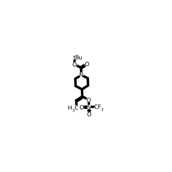 CC=C(OS(=O)(=O)C(F)(F)F)C1CCN(C(=O)OC(C)(C)C)CC1